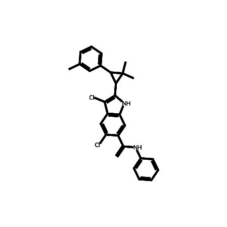 C=C(Nc1ccccc1)c1cc2[nH]c(C3C(c4cccc(C)c4)C3(C)C)c(Cl)c2cc1Cl